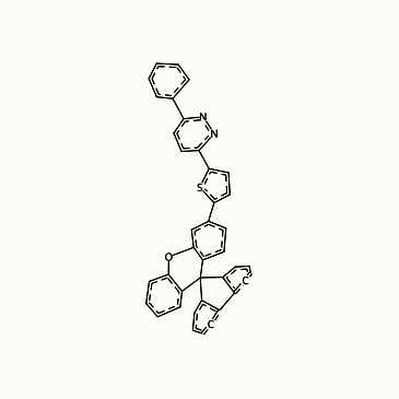 c1ccc(-c2ccc(-c3ccc(-c4ccc5c(c4)Oc4ccccc4C54c5ccccc5-c5ccccc54)s3)nn2)cc1